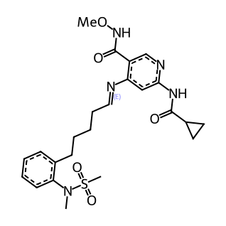 CONC(=O)c1cnc(NC(=O)C2CC2)cc1/N=C/CCCCc1ccccc1N(C)S(C)(=O)=O